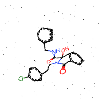 O=C1c2ccccc2C(O)(C(=O)NCc2ccccc2)N1CCc1ccc(Cl)cc1